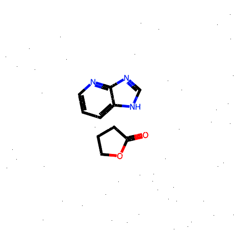 O=C1CCCO1.c1cnc2nc[nH]c2c1